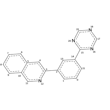 c1cc(-c2cc3ccccc3cn2)cc(-c2ncncn2)c1